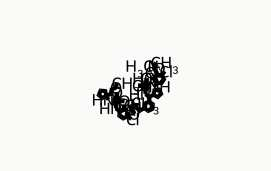 COCCC1(Nc2c(Nc3ccc(Cl)c(S(=O)(=O)N(C)Cc4cccc(C(Nc5c(Nc6ccc(Cl)c(S(=O)(=O)N(C)C)c6O)c(=O)c5=O)C5CCCC5)c4)c3O)c(=O)c2=O)CCCC1